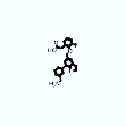 NCc1cccc(-c2cc(COc3c(F)cccc3CC(=O)O)cc3ccoc23)c1